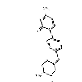 Nc1ccn(-c2ccc(CN3CC[C@@H](N)[C@@H](F)C3)cc2)c(=O)n1